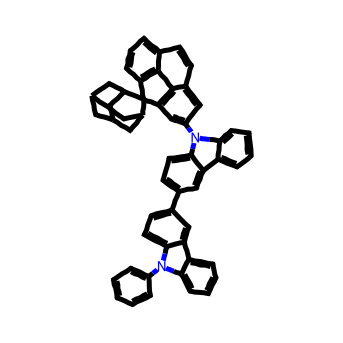 c1ccc(-n2c3ccccc3c3cc(-c4ccc5c(c4)c4ccccc4n5-c4cc5c6c(ccc7cccc(c76)C56C5CC7CC(C5)CC6C7)c4)ccc32)cc1